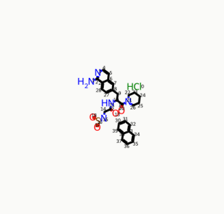 Cl.Nc1nccc2cc(CC(NC(=O)CN=S(=O)=O)C(=O)N3CCCCC3)ccc12.c1ccc2ccccc2c1